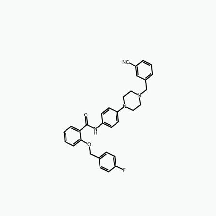 N#Cc1cccc(CN2CCN(c3ccc(NC(=O)c4ccccc4OCc4ccc(F)cc4)cc3)CC2)c1